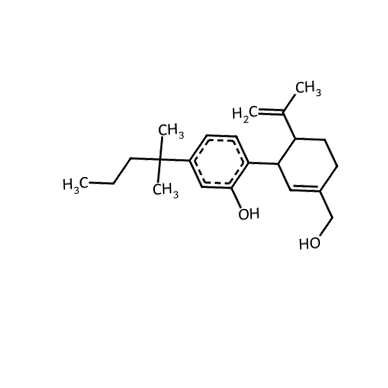 C=C(C)C1CCC(CO)=CC1c1ccc(C(C)(C)CCC)cc1O